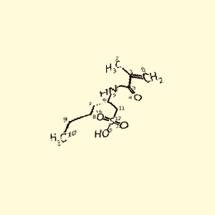 C=C(C)C(=O)N[C@@H](CCCC)CS(=O)(=O)O